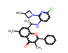 Cc1cc([C@@H](C)Nc2ccc(Cl)nc2N2CC(C#N)C2)c2oc(-c3ccccc3)c(C)c(=O)c2c1